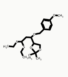 CCSC(CC(OCc1ccc(OC)cc1)C1COC(C)(C)O1)SCC